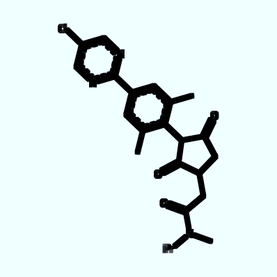 Cc1cc(-c2ncc(Cl)cn2)cc(C)c1C1C(=O)CC(CC(=O)N(C)C(C)C)C1=O